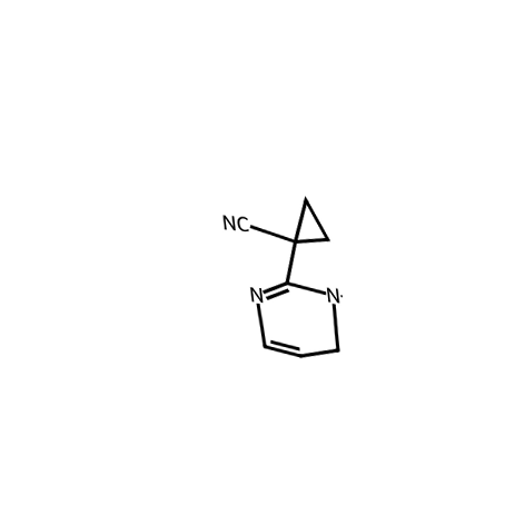 N#CC1(C2=NC=CC[N]2)CC1